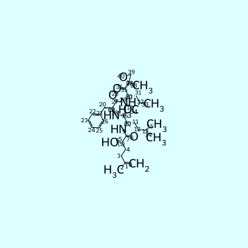 C=C(C)CC[C@H](O)C(=O)N[C@@H](CCC(C)C)C(=O)N[C@@H](Cc1ccccc1)C(=O)N[C@@H](CC(C)C)C(=O)[C@@]1(C)CO1